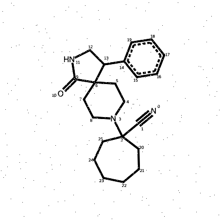 N#CC1(N2CCC3(CC2)C(=O)NCC3c2ccccc2)CCCCCC1